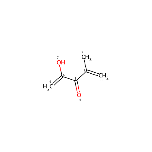 C=C(C)C(=O)C(=C)O